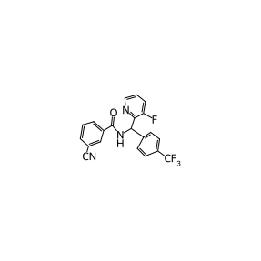 N#Cc1cccc(C(=O)NC(c2ccc(C(F)(F)F)cc2)c2ncccc2F)c1